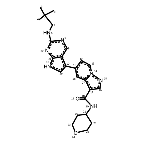 CC(C)(C)CNc1ncc2c(-c3ccn4ncc(C(=O)NC5CCOCC5)c4c3)c[nH]c2n1